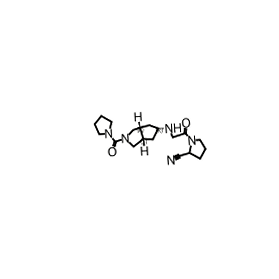 N#CC1CCCN1C(=O)CN[C@@H]1C[C@@H]2CN(C(=O)N3CCCC3)C[C@@H]2C1